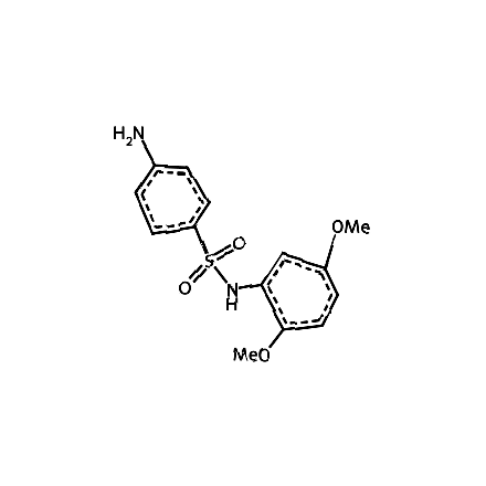 COc1ccc(OC)c(NS(=O)(=O)c2ccc(N)cc2)c1